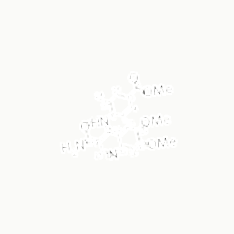 COC(=O)c1ccc(Nc2c(C(N)=O)cnc3cc(OC)c(OC)cc23)c(C)c1